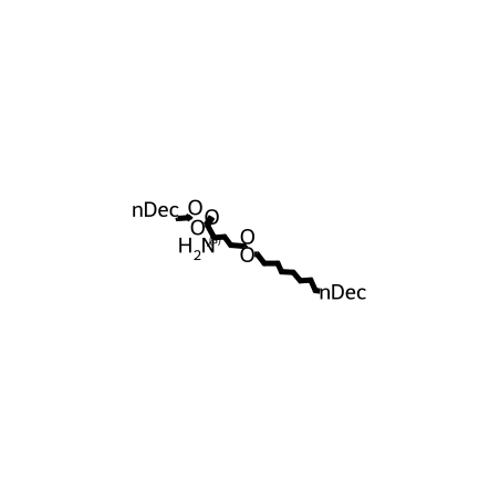 CCCCCCCCCCCCCCCCCCOC(=O)CC[C@H](N)C(=O)OC(=O)CCCCCCCCCCC